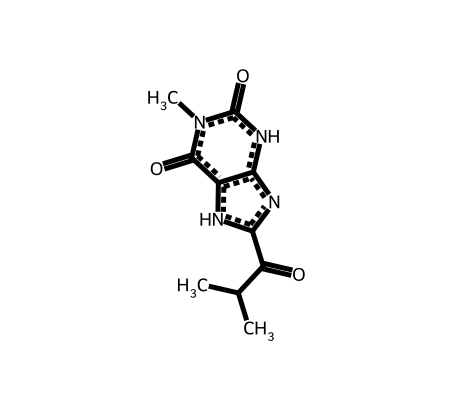 CC(C)C(=O)c1nc2[nH]c(=O)n(C)c(=O)c2[nH]1